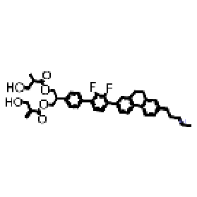 C=C(CO)C(=O)OCC(COC(=O)C(C)CO)c1ccc(-c2ccc(-c3ccc4c(c3)CCc3cc(CC/C=C/C)ccc3-4)c(F)c2F)cc1